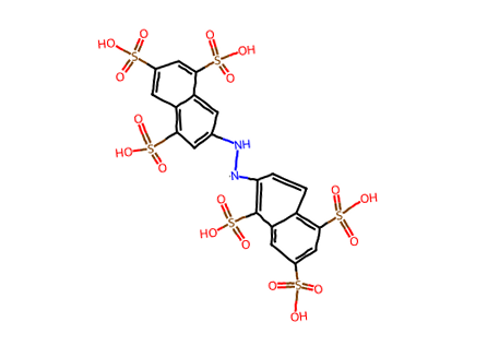 O=S(=O)(O)c1cc(S(=O)(=O)O)c2cc(N[N]c3ccc4c(S(=O)(=O)O)cc(S(=O)(=O)O)cc4c3S(=O)(=O)O)cc(S(=O)(=O)O)c2c1